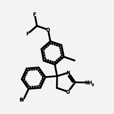 Cc1cc(OC(F)F)ccc1C1(c2cccc(Br)c2)COC(N)=N1